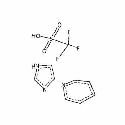 O=S(=O)(O)C(F)(F)F.c1c[nH]cn1.c1ccncc1